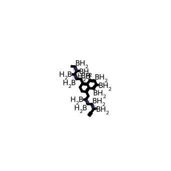 B=C(C1=c2c(B)c(B)c(B)c(B)c2=C(C/C(B)=C(B)\C(B)=C(\B)C#C)CC1)/C(B)=C(B)\C(B)=C(\B)C